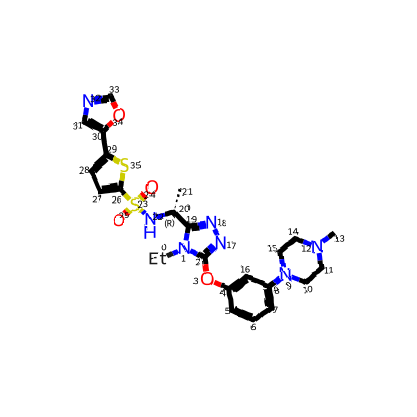 CCn1c(Oc2cccc(N3CCN(C)CC3)c2)nnc1[C@@H](C)NS(=O)(=O)c1ccc(-c2cnco2)s1